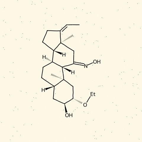 C/C=C1/CC[C@H]2[C@@H]3CC[C@H]4C[C@H](O)[C@@H](OCC)C[C@]4(C)[C@H]3C(=NO)C[C@]12C